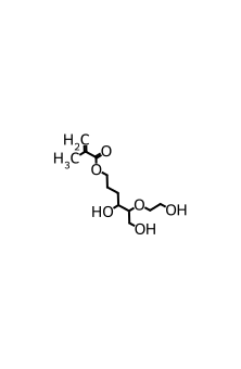 C=C(C)C(=O)OCCCC(O)C(CO)OCCO